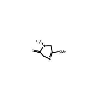 CSC1=NCC(=O)N(C)C1